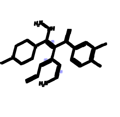 C=C/C=C(\C=C/N)C(/C(=C)c1ccc(C)c(C)c1)=C(/NN)N1CCN(C)CC1